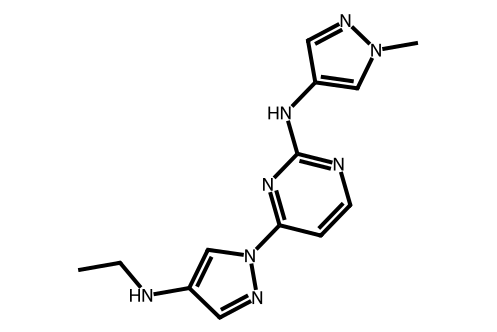 CCNc1cnn(-c2ccnc(Nc3cnn(C)c3)n2)c1